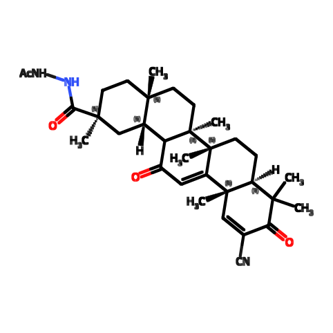 CC(=O)NNC(=O)[C@@]1(C)CC[C@]2(C)CC[C@]3(C)C(C(=O)C=C4[C@@]5(C)C=C(C#N)C(=O)C(C)(C)[C@@H]5CC[C@]43C)[C@@H]2C1